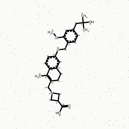 COc1cc(CC(C)(C)O)ccc1COc1ccc2c(c1)CCC(CN1CC(C(=O)O)C1)=C2C